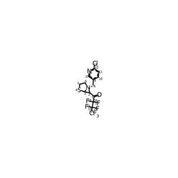 O=C(C1C2SCC[N+]21Cc1ccc(Cl)nc1)C(F)(F)C(F)(F)C(F)(F)F